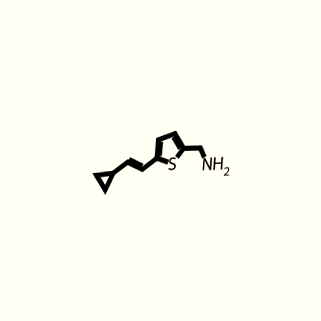 NCc1ccc(/C=C/C2CC2)s1